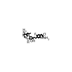 Cc1cc2c(N)ncnc2n1[C@@H]1CC(C)(CCc2cc3nc(N)c(Cl)cc3cc2F)[C@@H](O)[C@H]1O